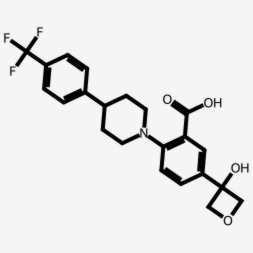 O=C(O)c1cc(C2(O)COC2)ccc1N1CCC(c2ccc(C(F)(F)F)cc2)CC1